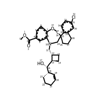 COC(=O)c1ccc2c(c1)N(C[C@@H]1CC[C@H]1[C@@H](O)[C@@H]1C=CCCC1)CC1(CCCc3cc(Cl)ccc31)CO2